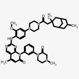 COc1cc(N2CCN(C(=O)CC3(C)CC4CC(C)CC(C4)C3)CC2)ccc1Nc1ncc2c(C)cc(=O)n(-c3cccc(N4CCN(C)CC4=O)c3)c2n1